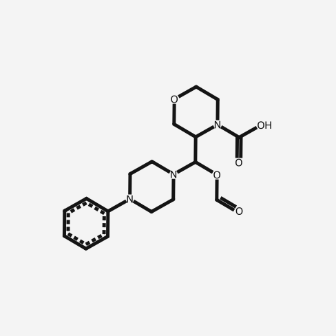 O=COC(C1COCCN1C(=O)O)N1CCN(c2ccccc2)CC1